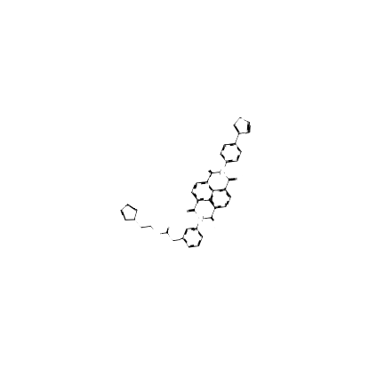 O=C(Cc1cccc(N2C(=O)c3ccc4c5c(ccc(c35)C2=O)C(=O)N(c2ccc(C3=CCC=C3)cc2)C4=O)c1)OCCC1C=CC=C1